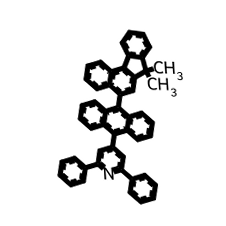 CC1(C)c2ccccc2-c2c1cc(-c1c3ccccc3c(-c3cc(-c4ccccc4)nc(-c4ccccc4)c3)c3ccccc13)c1ccccc21